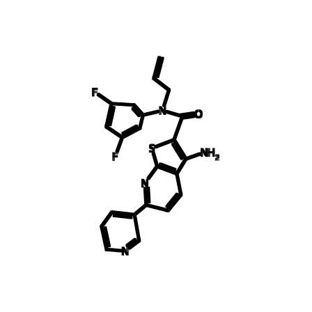 C=CCN(C(=O)c1sc2nc(-c3cccnc3)ccc2c1N)c1cc(F)cc(F)c1